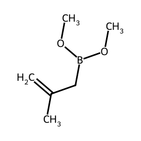 C=C(C)CB(OC)OC